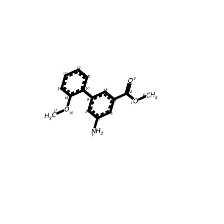 COC(=O)c1cc(N)cc(-c2ccccc2OC)c1